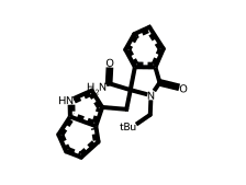 CC(C)(C)CN1C(=O)c2ccccc2C1(Cc1c[nH]c2ccccc12)C(N)=O